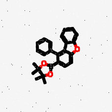 CC1(C)OB(c2ccc3oc4ccccc4c3c2-c2ccccc2)OC1(C)C